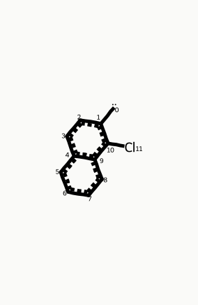 [CH]c1ccc2ccccc2c1Cl